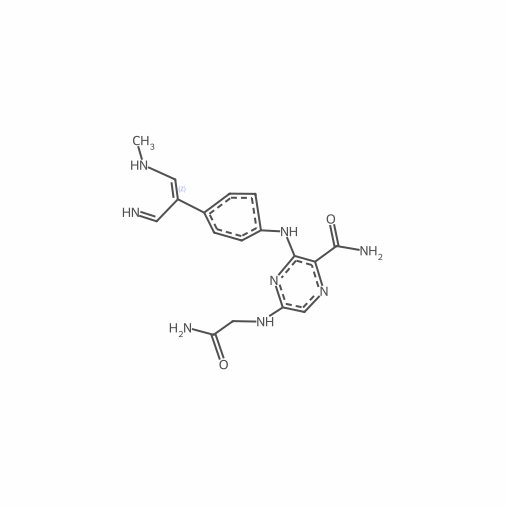 CN/C=C(\C=N)c1ccc(Nc2nc(NCC(N)=O)cnc2C(N)=O)cc1